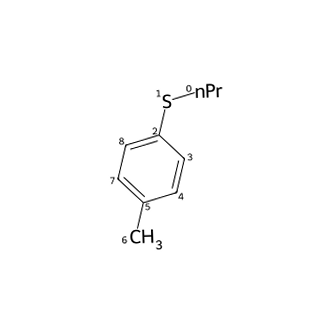 C[CH]CSc1ccc(C)cc1